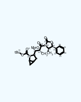 CO[C@@H](C1CC2CC2N1C(=O)OC(C)(C)C)[C@@H](C)C(=O)N1C(=O)O[C@@H](c2ccccc2)[C@H]1C